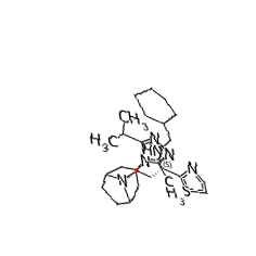 Cc1nnc(C(C)C)n1C1CC2CCC(C1)N2CC[C@H](NCC1CCCCC1)c1nccs1